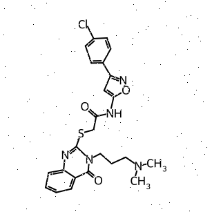 CN(C)CCCn1c(SCC(=O)Nc2cc(-c3ccc(Cl)cc3)no2)nc2ccccc2c1=O